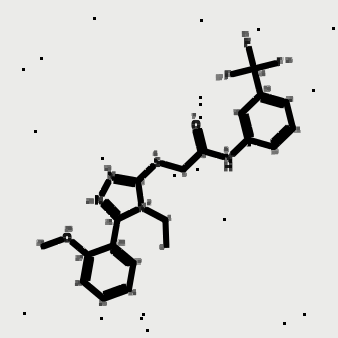 CCn1c(SCC(=O)Nc2cccc(C(F)(F)F)c2)nnc1-c1ccccc1OC